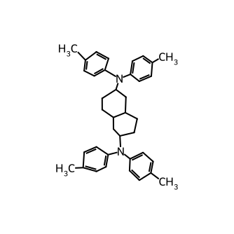 Cc1ccc(N(c2ccc(C)cc2)C2CCC3CC(N(c4ccc(C)cc4)c4ccc(C)cc4)CCC3C2)cc1